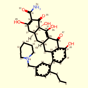 CCCc1ccc(CN2CCCCC2)cc1-c1ccc(O)c2c1C[C@H]1C[C@H]3CC(O)=C(C(N)=O)C(=O)[C@@]3(O)C(O)=C1C2=O